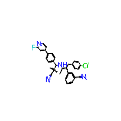 CC(NC(c1ccc(-c2ccnc(F)c2)cc1)C(C)(C)C#N)C(Cc1ccc(Cl)cc1)c1cccc(C#N)c1